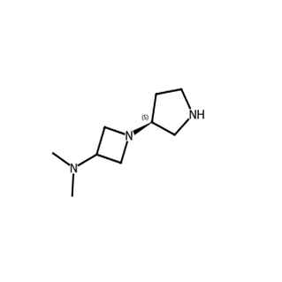 CN(C)C1CN([C@H]2CCNC2)C1